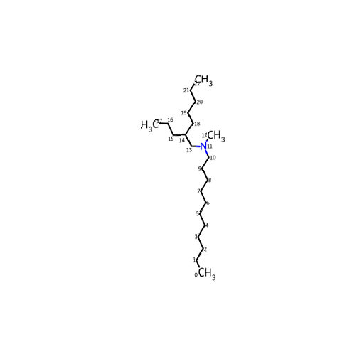 CCCCCCCCCCCN(C)CC(CCC)CCCCC